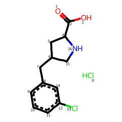 Cl.O=C(O)C1CC(Cc2cccc(Cl)c2)CN1